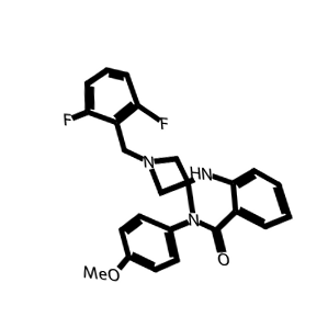 COc1ccc(N2C(=O)c3ccccc3NC23CN(Cc2c(F)cccc2F)C3)cc1